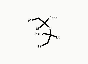 CCCC(C)C(CC)(CC(C)C)OC(CC)(CC(C)C)C(C)CCC